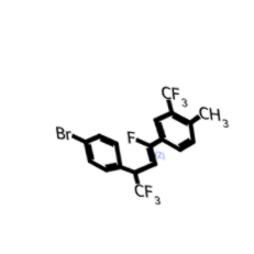 Cc1ccc(/C(F)=C/C(c2ccc(Br)cc2)C(F)(F)F)cc1C(F)(F)F